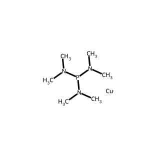 CN(C)P(N(C)C)N(C)C.[Cu]